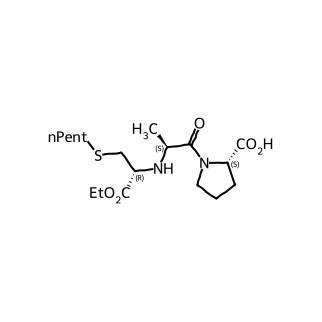 CCCCCSC[C@H](N[C@@H](C)C(=O)N1CCC[C@H]1C(=O)O)C(=O)OCC